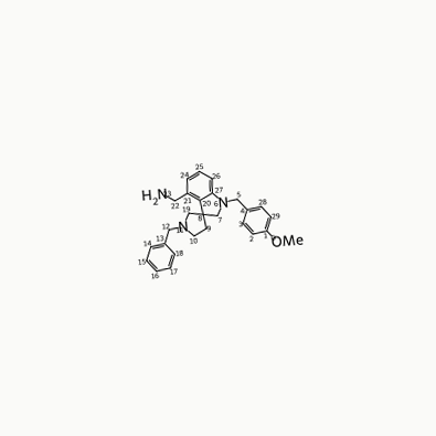 COc1ccc(CN2CC3(CCN(Cc4ccccc4)C3)c3c(CN)cccc32)cc1